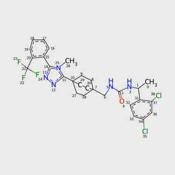 CC(NC(=O)NCC12CCC(c3nnc(-c4ccccc4C(F)(F)F)n3C)(CC1)CC2)c1ccc(Cl)cc1Cl